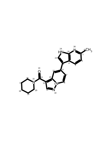 Cc1ccc2c(-c3ccn4ncc(C(=O)N5CCCCC5)c4c3)c[nH]c2n1